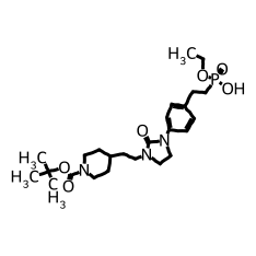 CCOP(=O)(O)CCc1ccc(N2CCN(CCC3CCN(C(=O)OC(C)(C)C)CC3)C2=O)cc1